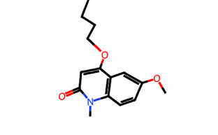 CCCCOc1cc(=O)n(C)c2ccc(OC)cc12